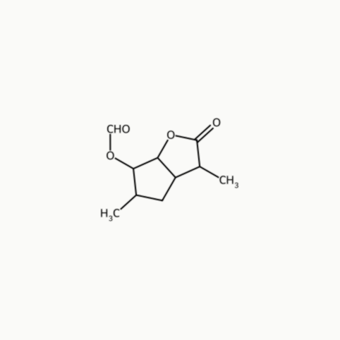 CC1CC2C(C)C(=O)OC2C1OC=O